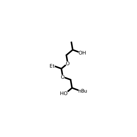 CCCCC(O)COC(CC)OCC(C)O